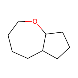 C1CCC2CCCC2OC1